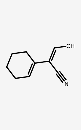 N#C/C(=C\O)C1=CCCCC1